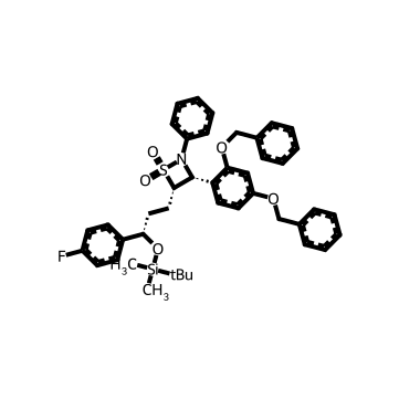 CC(C)(C)[Si](C)(C)O[C@@H](CC[C@H]1[C@@H](c2ccc(OCc3ccccc3)cc2OCc2ccccc2)N(c2ccccc2)S1(=O)=O)c1ccc(F)cc1